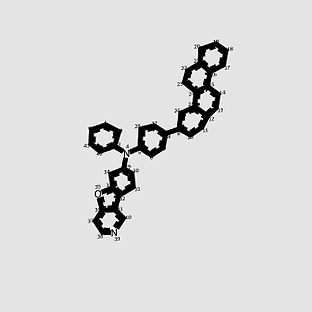 c1ccc(N(c2ccc(-c3ccc4ccc5c6ccccc6ccc5c4c3)cc2)c2ccc3c(c2)oc2ccncc23)cc1